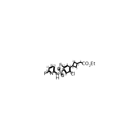 CCOC(=O)CC1CC(c2cc(F)c(S(=O)(=O)Nc3cccc(F)n3)cc2Cl)C1